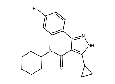 O=C(NC1CCCCC1)c1c(-c2ccc(Br)cc2)n[nH]c1C1CC1